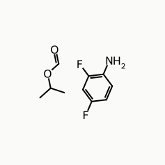 CC(C)OC=O.Nc1ccc(F)cc1F